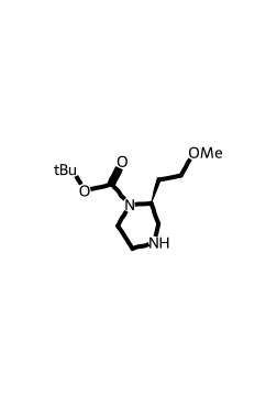 COCC[C@H]1CNCCN1C(=O)OC(C)(C)C